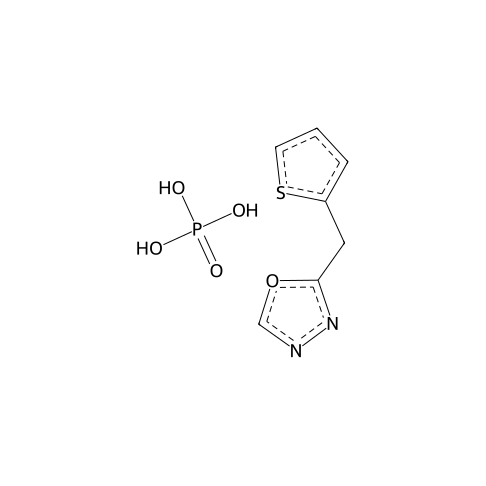 O=P(O)(O)O.c1csc(Cc2nnco2)c1